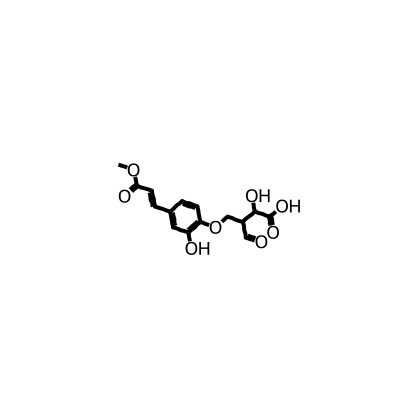 COC(=O)/C=C/c1ccc(OCC(C=O)C(O)C(=O)O)c(O)c1